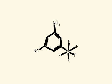 N#Cc1cc(N)cc(S(F)(F)(F)(F)F)c1